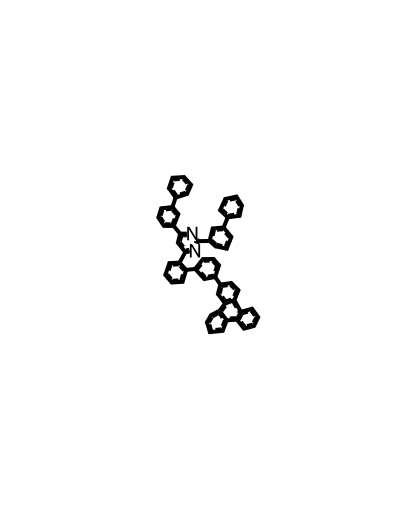 c1ccc(-c2cccc(-c3cc(-c4ccccc4-c4cccc(-c5ccc6c7ccccc7c7ccccc7c6c5)c4)nc(-c4cccc(-c5ccccc5)c4)n3)c2)cc1